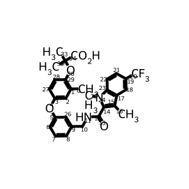 Cc1cc(Oc2cccc(CNC(=O)c3c(C)c4cc(C(F)(F)F)ccc4n3C)c2)ccc1OC(C)(C)C(=O)O